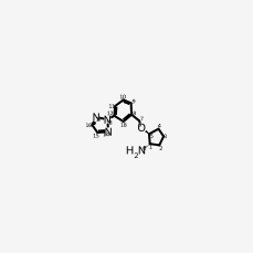 N[C@H]1CCC[C@@H]1OCc1cccc(-n2nccn2)c1